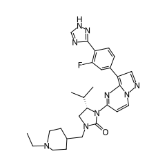 CCN1CCC(CN2C[C@H](C(C)C)N(c3ccn4ncc(-c5ccc(-c6nc[nH]n6)c(F)c5)c4n3)C2=O)CC1